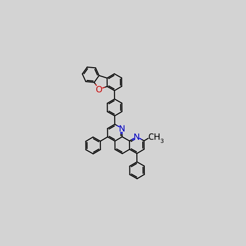 Cc1cc(-c2ccccc2)c2ccc3c(-c4ccccc4)cc(-c4ccc(-c5cccc6c5oc5ccccc56)cc4)nc3c2n1